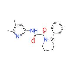 Cc1cc(NC(=O)C(=O)N2CCCC[C@H]2c2ccccc2)cnc1C